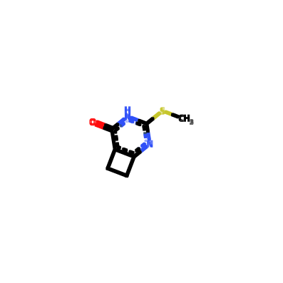 CSc1nc2c(c(=O)[nH]1)CC2